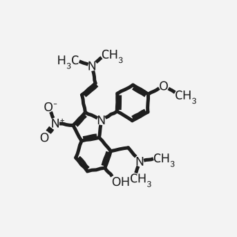 COc1ccc(-n2c(/C=C/N(C)C)c([N+](=O)[O-])c3ccc(O)c(CN(C)C)c32)cc1